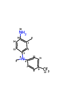 Cc1cc(N(C)c2ccc(C(F)(F)F)cc2)ccc1N